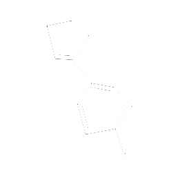 CC(=O)c1ccc(C2=CCCC2)cc1